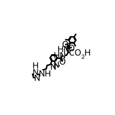 Cc1cc(C)c(S(=O)(=O)NC(CNC(=O)c2cccc3c(CCCNC4=NCCN4)nn(C)c23)C(=O)O)c(C)c1